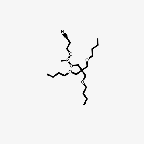 CCCCOCC(COCCCC)(COCCCC)COP(C)OCCC#N